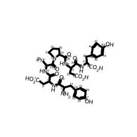 CC(C)C(NC(=O)C(CC(=O)O)NC(=O)C(N)Cc1ccc(O)cc1)C(=O)N1CCCC1C(=O)NC(CC(=O)O)C(=O)NC(Cc1ccc(O)cc1)C(=O)O